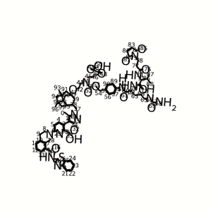 Cc1c(-c2ccc(N3CCc4cccc(C(=O)Nc5nc6ccccc6s5)c4C3)nc2C(=O)O)cnn1CC12CC3(OCCN(CCS(=O)(=O)O)C(=O)OCc4ccc(NC(=O)[C@H](CCCNC(N)=O)NC(=O)C(NC(=O)CCN5C(=O)C=CC5=O)C(C)C)cc4)CC4(C)CC(C)(C1)C4(C2)C3